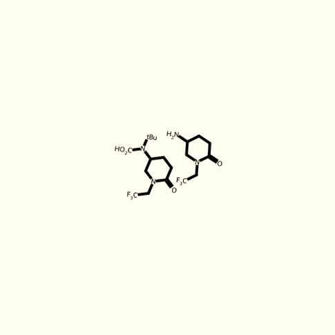 CC(C)(C)N(C(=O)O)C1CCC(=O)N(CC(F)(F)F)C1.NC1CCC(=O)N(CC(F)(F)F)C1